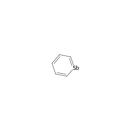 C1=C[CH]=[Sb][CH]=C1